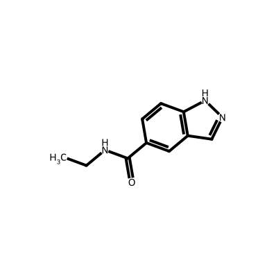 CCNC(=O)c1ccc2[nH]ncc2c1